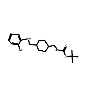 CC(C)(C)OC(=O)NCC1CCC(CNc2ccccc2N)CC1